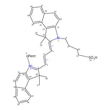 CCCCC[N+]1=C(/C=C/C=C2/N(CCCCS(=O)(=O)O)c3ccc4ccccc4c3C2(C)C)C(C)(C)c2c1ccc1ccccc21